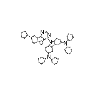 c1ccc(-c2ccc3oc4c(-n5c6ccc(N(c7ccccc7)c7ccccc7)cc6c6cc(N(c7ccccc7)c7ccccc7)ccc65)ncnc4c3c2)cc1